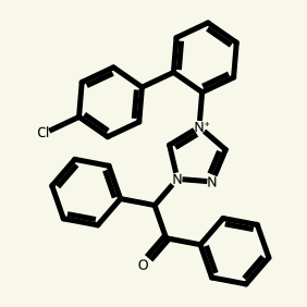 O=C(c1ccccc1)C(c1ccccc1)n1c[n+](-c2ccccc2-c2ccc(Cl)cc2)cn1